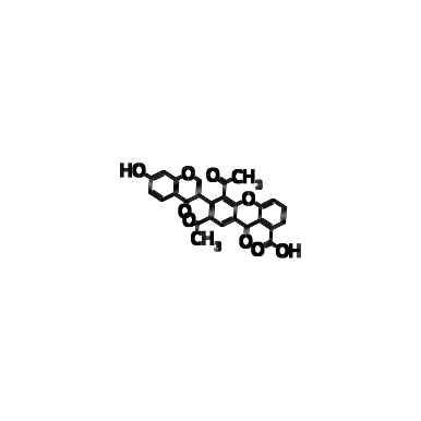 CC(=O)c1cc2c(=O)c3c(C(=O)O)cccc3oc2c(C(C)=O)c1-c1coc2cc(O)ccc2c1=O